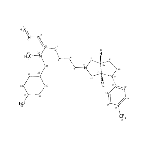 C=N/N=C(/SCCCN1C[C@@H]2CCN(c3ccc(C(F)(F)F)cc3)[C@@H]2C1)N(C)CC1CCC(O)CC1